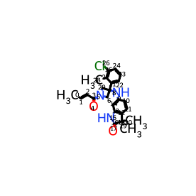 C/C=C/C(=O)N1CC(Nc2ccc3c(c2)NC(=O)C3(C)C)(c2cccc(Cl)c2C)C1